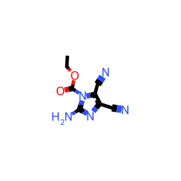 CCOC(=O)n1c(N)nc(C#N)c1C#N